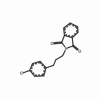 O=C1c2ccccc2C(=O)N1CCCc1ccc(Cl)cc1